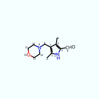 Cc1[nH]c(C=O)c(C)c1CN1CCOCC1